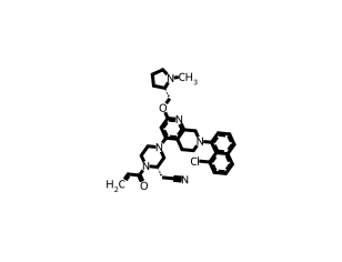 C=CC(=O)N1CCN(c2cc(OC[C@@H]3CCCN3C)nc3c2CCN(c2cccc4cccc(Cl)c24)C3)C[C@@H]1CC#N